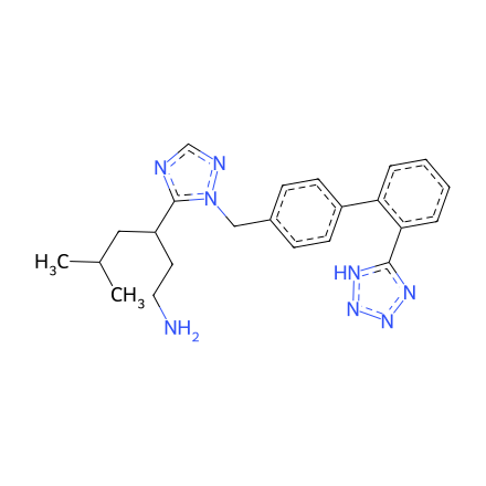 CC(C)CC(CCN)c1ncnn1Cc1ccc(-c2ccccc2-c2nnn[nH]2)cc1